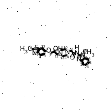 Cc1nc2ccc(OC[C@H](O)CN3CCN(CC(=O)Nc4nc5ccccc5n4C)CC3)cc2s1